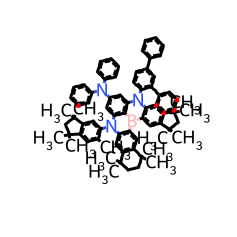 Cc1cc2c(cc1N1c3cc4c(cc3B3c5cc6c(cc5N(c5ccc(-c7ccccc7)cc5-c5ccccc5)c5cc(N(c7ccccc7)c7ccccc7)cc1c53)C(C)(C)CC6(C)C)C(C)(C)CCC4(C)C)C(C)(C)CC2(C)C